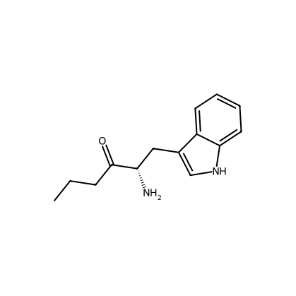 CCCC(=O)[C@@H](N)Cc1c[nH]c2ccccc12